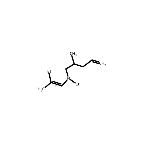 C=CCC(C)CN(/C=C(/C)CC)CC